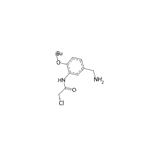 CCC(C)Oc1ccc(CN)cc1NC(=O)CCl